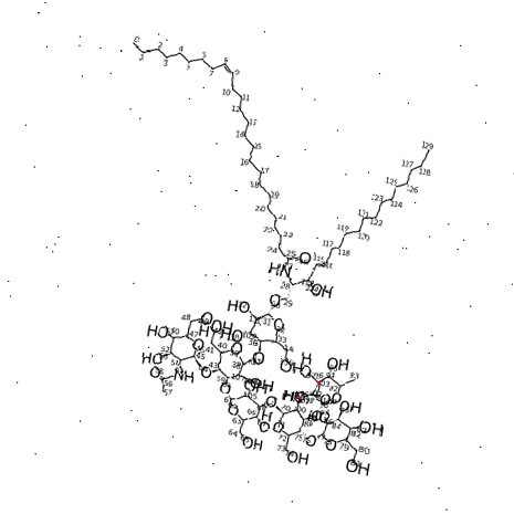 CCCCCCCC/C=C\CCCCCCCCCCCCCCCC(=O)N[C@@H](CO[C@@H]1OC(CO)[C@@H](O[C@@H]2OC(CO)[C@H](O[C@@H]3OC(CO)[C@H](O)[C@H](O)C3NC(C)=O)[C@H](O[C@H]3OC(CO)[C@H](O)[C@H](O[C@@H]4OC(CO)[C@@H](O[C@@H]5OC(CO)[C@H](O)[C@H](O)C5O)[C@H](O[C@H]5OC(C)[C@@H](O)C(O)[C@@H]5O)C4NC(C)=O)C3O)C2O)[C@H](O)C1O)[C@H](O)/C=C/CCCCCCCCCCCCC